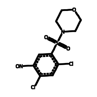 O=Nc1cc(S(=O)(=O)N2CCOCC2)c(Cl)cc1Cl